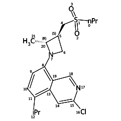 CCCS(=O)(=O)C[C@H]1CN(c2ccc(C(C)C)c3cc(Cl)ncc23)[C@@H]1C